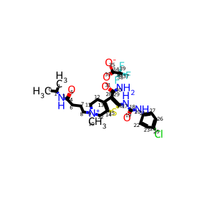 CC(C)NC(=O)CCC[N+]1(C)CCc2c(sc(NC(=O)Nc3ccc(Cl)cc3)c2C(N)=O)C1.O=C([O-])C(F)(F)F